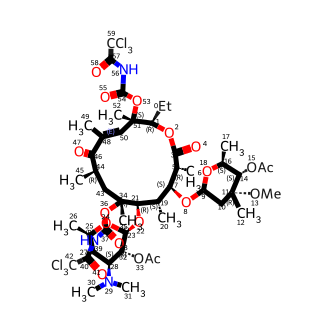 CC[C@H]1OC(=O)[C@H](C)[C@@H](OC2C[C@@](C)(OC)[C@@H](OC(C)=O)[C@H](C)O2)[C@H](C)[C@@H](O[C@@H]2O[C@H](C)C[C@H](N(C)C)[C@H]2OC(C)=O)[C@](C)(OC(=O)NC(=O)C(Cl)(Cl)Cl)C[C@@H](C)C(=O)/C(C)=C/[C@]1(C)OC(=O)NC(=O)C(Cl)(Cl)Cl